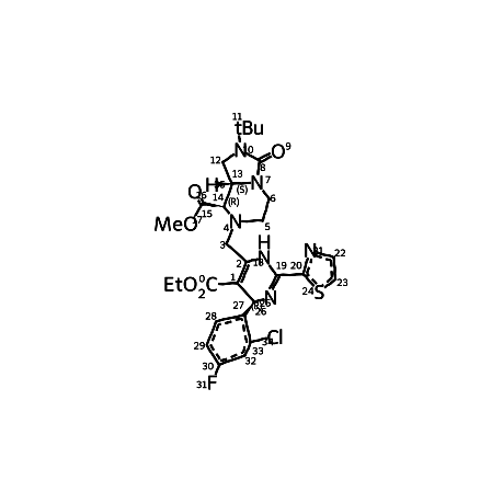 CCOC(=O)C1=C(CN2CCN3C(=O)N(C(C)(C)C)C[C@H]3[C@@H]2C(=O)OC)NC(c2nccs2)=N[C@H]1c1ccc(F)cc1Cl